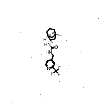 O=C(NCc1ccnc(C(F)(F)F)c1)N[C@H]1C[C@@H]2CCC[C@H]1C2